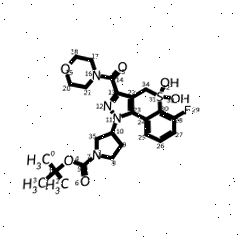 CC(C)(C)OC(=O)N1CCC(n2nc(C(=O)N3CCOCC3)c3c2-c2cccc(F)c2S(O)(O)C3)C1